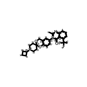 Cc1nc2cccc(C(F)(F)F)c2c(=O)n1-c1ccc2c(c1)COC1(CCN(C3CCC3)CC1)O2